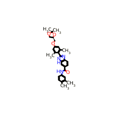 Cc1ccc(NC(=O)c2ccc3nc(-c4c(C)cc(OC[C@H]5COC(C)(C)O5)cc4C)[nH]c3c2)cc1C